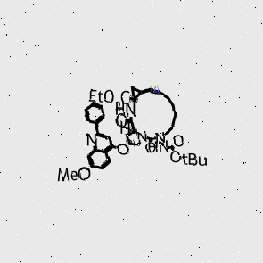 CCOC(=O)[C@@]12CC1/C=C\CCCCCN(NC(=O)OC(C)(C)C)C(=O)N1C[C@H](Oc3cc(-c4ccccc4)nc4cc(OC)ccc34)C[C@H]1C(=O)N2